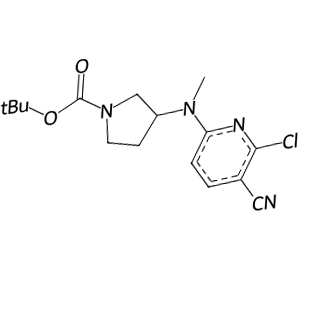 CN(c1ccc(C#N)c(Cl)n1)C1CCN(C(=O)OC(C)(C)C)C1